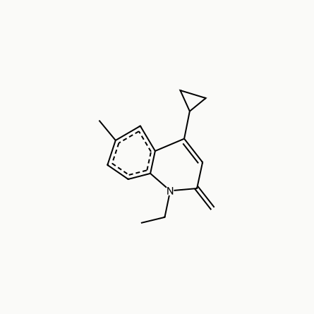 C=C1C=C(C2CC2)c2cc(C)ccc2N1CC